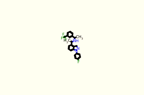 C=C(NC(C)c1cccc(C(F)(F)F)c1)c1cccc2c1cnn2-c1ccc(F)cc1